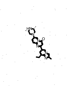 CCc1cc(-c2cc(=O)n3cc(N4C[C@@H](C)N[C@@H](C)C4)ccc3n2)cn2cc(C)nc12